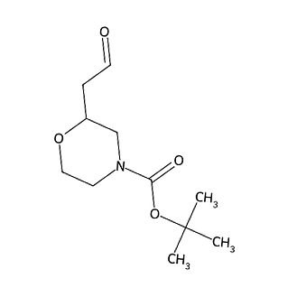 CC(C)(C)OC(=O)N1CCOC(CC=O)C1